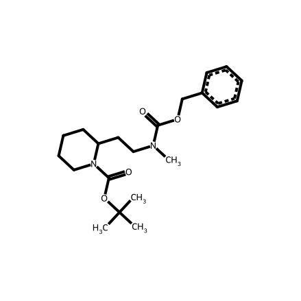 CN(CCC1CCCCN1C(=O)OC(C)(C)C)C(=O)OCc1ccccc1